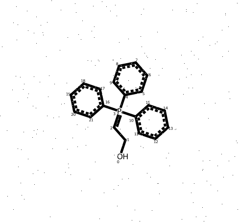 OCC=P(c1ccccc1)(c1ccccc1)c1ccccc1